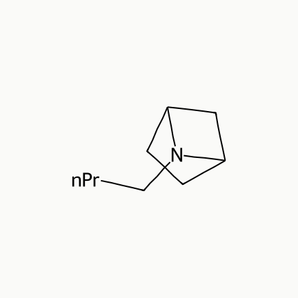 CCCCN1C2CCC1C2